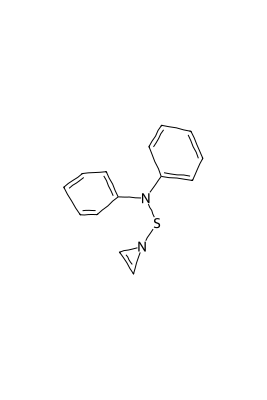 C1=CN1SN(c1ccccc1)c1ccccc1